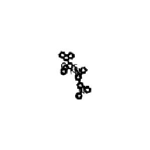 c1ccc(-n2c3ccccc3c3cc(-c4ccc5c(c4)c4ccccc4n5-c4nc5c(cc(-c6cc7ccccc7c7ccccc67)c6oc7ccccc7c65)s4)ccc32)cc1